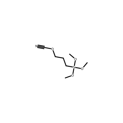 CO[Si](CCCOC#N)(OC)OC